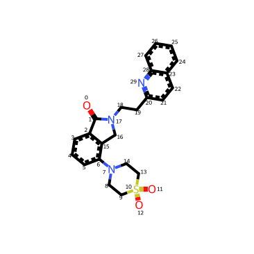 O=C1c2cccc(N3CCS(=O)(=O)CC3)c2CN1CCc1ccc2ccccc2n1